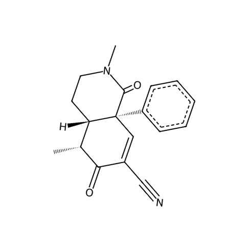 C[C@H]1C(=O)C(C#N)=C[C@]2(c3ccccc3)C(=O)N(C)CC[C@@H]12